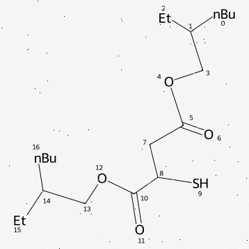 CCCCC(CC)COC(=O)CC(S)C(=O)OCC(CC)CCCC